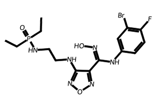 CCP(=O)(CC)NCCNc1nonc1C(=NO)Nc1ccc(F)c(Br)c1